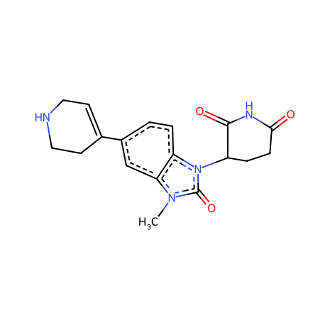 Cn1c(=O)n(C2CCC(=O)NC2=O)c2ccc(C3=CCNCC3)cc21